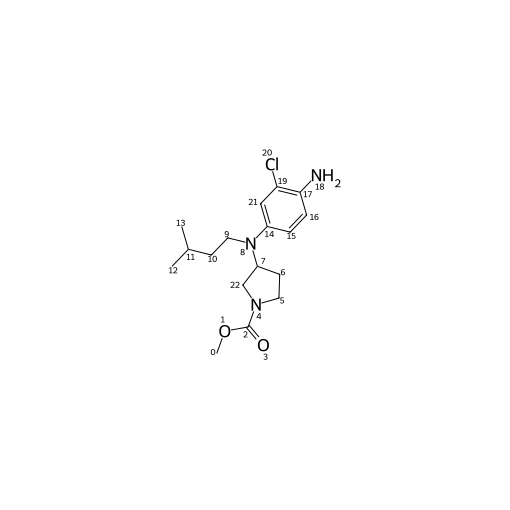 COC(=O)N1CCC(N(CCC(C)C)c2ccc(N)c(Cl)c2)C1